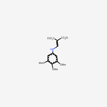 CCOC(=O)C(=CNc1cc(OC)c(OC)c(OC)c1)C(=O)OCC